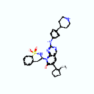 CC1=C(c2cc3cnc(Nc4ccc(C5CCNCC5)cc4)nc3n(C3Cc4ccccc4S(=O)(=O)N3)c2=O)CCC1